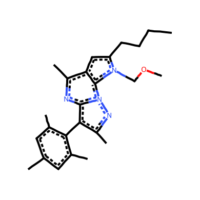 CCCCc1cc2c(C)nc3c(-c4c(C)cc(C)cc4C)c(C)nn3c2n1COC